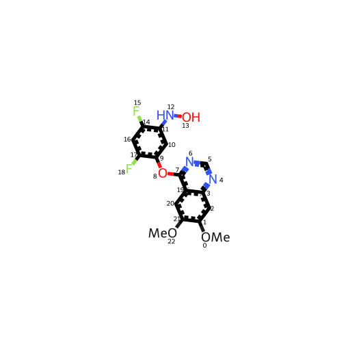 COc1cc2ncnc(Oc3cc(NO)c(F)cc3F)c2cc1OC